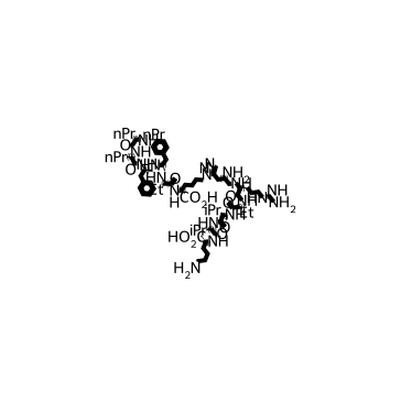 CCCN[C@H](CCC)C(=O)N[C@H](CCC)C(=O)N[C@@H](CN[C@@H](CN[C@H](CC)C(=O)N[C@H](CCCCn1nncc1C[C@@H](N)CN[C@H](CCCNC(=N)N)C(=O)N[C@H](CC)C(=O)N[C@@H](C(=O)N[C@@H](C(=O)N[C@H](CCCCN)C(=O)O)C(C)C)C(C)C)C(=O)O)Cc1ccccc1)Cc1ccccc1